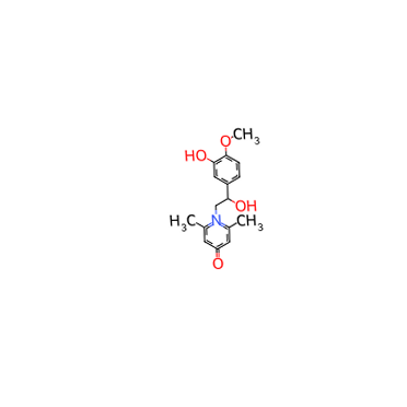 COc1ccc(C(O)Cn2c(C)cc(=O)cc2C)cc1O